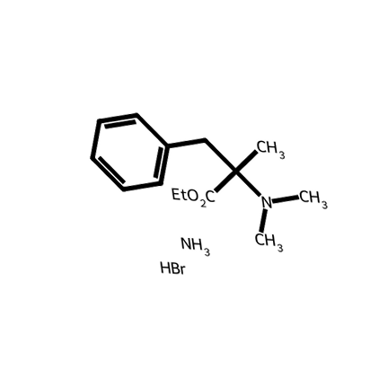 Br.CCOC(=O)C(C)(Cc1ccccc1)N(C)C.N